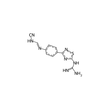 N#CN/C=N/c1ccc(-c2nsc(NC(=N)N)n2)cc1